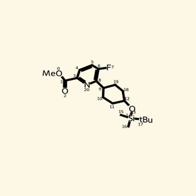 COC(=O)c1ccc(F)c(C2CCC(O[Si](C)(C)C(C)(C)C)CC2)n1